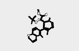 COC(=O)[C@@H](OC(C)(C)C)c1c(C)ccc(C)c1-c1ccc2c(c1C)CCCO2